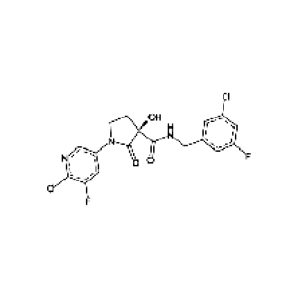 O=C(NCc1cc(F)cc(Cl)c1)[C@@]1(O)CCN(c2cnc(Cl)c(F)c2)C1=O